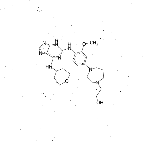 COc1cc(N2CCCN(CCO)CC2)ccc1Nc1nc(NC2CCOCC2)c2ncnc-2[nH]1